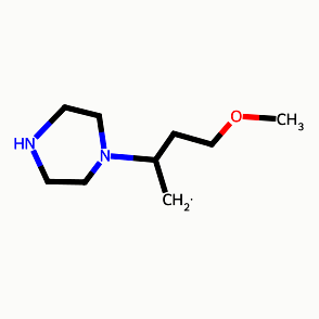 [CH2]C(CCOC)N1CCNCC1